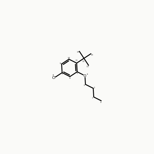 CCCCOc1cc(Cl)ccc1C(C)(C)C